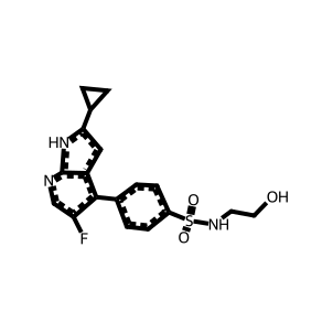 O=S(=O)(NCCO)c1ccc(-c2c(F)cnc3[nH]c(C4CC4)cc23)cc1